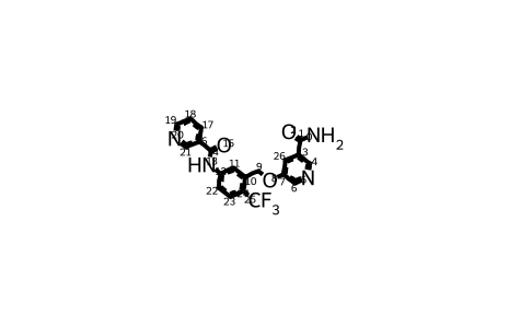 NC(=O)c1cncc(OCc2cc(NC(=O)c3cccnc3)ccc2C(F)(F)F)c1